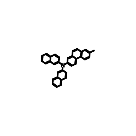 Cc1ccc2c(ccc3cc(N(c4ccc5ccccc5c4)c4ccc5ccccc5c4)ccc32)c1